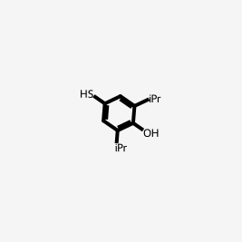 CC(C)c1cc(S)cc(C(C)C)c1O